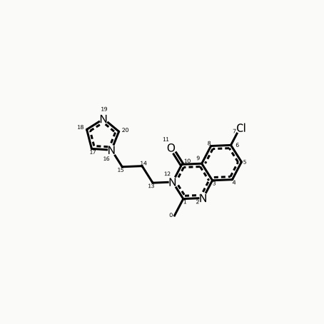 Cc1nc2ccc(Cl)cc2c(=O)n1CCCn1ccnc1